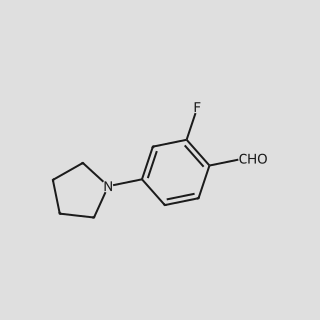 O=Cc1ccc(N2CCCC2)cc1F